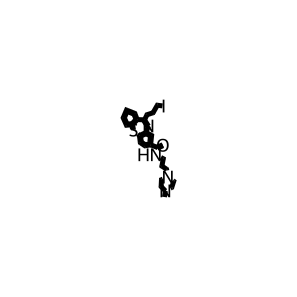 CN1CCN(CCCNC(=O)c2ccc3c(c2)N=C(CCCI)c2ccccc2S3)CC1